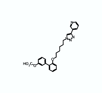 O=C(O)Oc1cccc(-c2ccccc2OCCCCCCn2cc(-c3cccnc3)nn2)c1